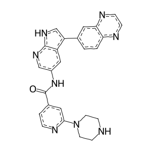 O=C(Nc1cnc2[nH]cc(-c3ccc4nccnc4c3)c2c1)c1ccnc(N2CCNCC2)c1